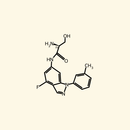 Cc1cccc(-n2ncc3c(F)cc(NC(=O)[C@@H](N)CO)cc32)c1